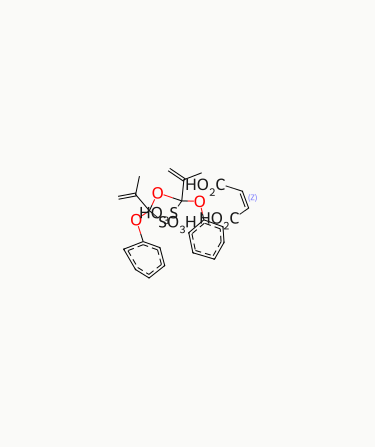 C=C(C)C(Oc1ccccc1)(OC(Oc1ccccc1)(C(=C)C)S(=O)(=O)O)S(=O)(=O)O.O=C(O)/C=C\C(=O)O